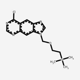 C[Si](C)(C)CCOCn1cnc2cc3c(Cl)ncnc3cc21